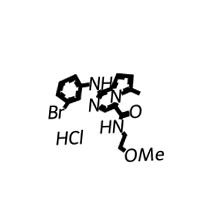 COCCNC(=O)c1cnc(Nc2cccc(Br)c2)c2ccc(C)n12.Cl